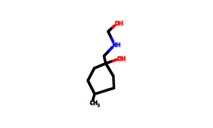 CC1CCC(O)(CNCO)CC1